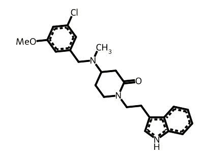 COc1cc(Cl)cc(CN(C)C2CCN(CCc3c[nH]c4ccccc34)C(=O)C2)c1